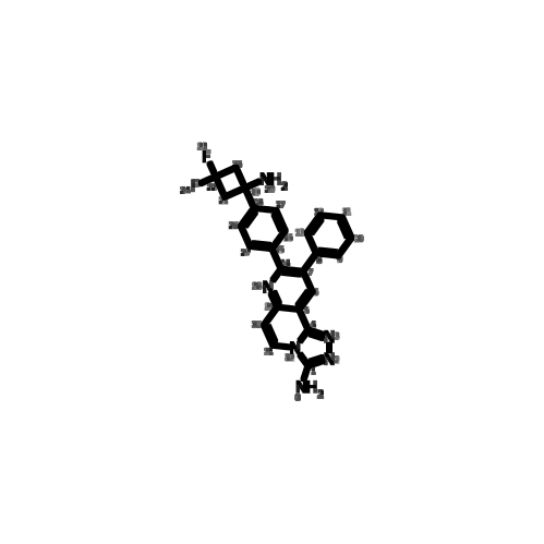 Nc1nnc2c3cc(-c4ccccc4)c(-c4ccc(C5(N)CC(F)(F)C5)cc4)nc3ccn12